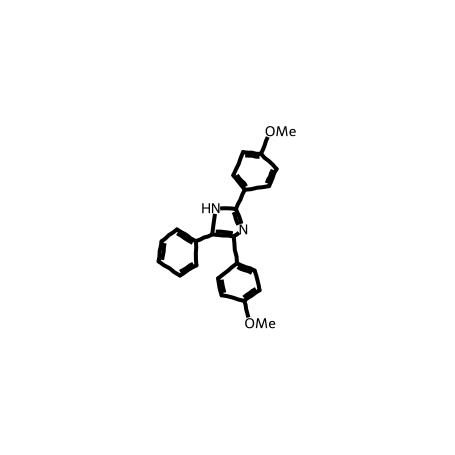 COc1ccc(-c2nc(-c3ccc(OC)cc3)c(-c3ccccc3)[nH]2)cc1